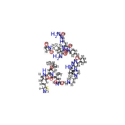 Cc1ncsc1-c1ccc([C@H](C)NC(=O)[C@@H]2C[C@@H](O[Si](C)(C)C(C)(C)C)CN2C(=O)[C@@H](c2cc(OCCN3CCC(CN4CCN5c6cc(-c7ccccc7OCc7ccc(NC(=O)[C@H](CCCNC(N)=O)N(CCCCCN8C(=O)C=CC8=O)C(=O)C8(C(N)=O)CCC8)cc7)nnc6NC[C@H]5C4)CC3)no2)C(C)C)cc1